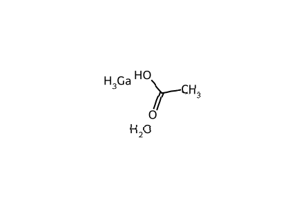 CC(=O)O.O.[GaH3]